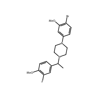 COc1ccc(C(C)N2CCN(c3ccc(Br)c(OC)c3)CC2)cc1F